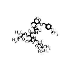 BOC(=O)[C@H](C)O/N=C(\C(=O)NC1C(=O)N2C(C(=O)OCc3ccc(OC)cc3)=C(CCl)CSC12)c1nc(NC(=O)OC(C)(C)C)sc1Cl